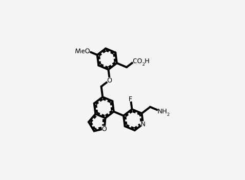 COc1ccc(CC(=O)O)c(OCc2cc(-c3ccnc(CN)c3F)c3occc3c2)c1